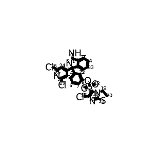 NC1=NC(c2cccc(OS(=O)(=O)c3c(Cl)nc4n3CCS4)c2)(c2cc(Cl)nc(Cl)c2)c2ccccc21